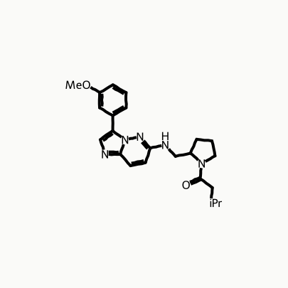 COc1cccc(-c2cnc3ccc(NCC4CCCN4C(=O)CC(C)C)nn23)c1